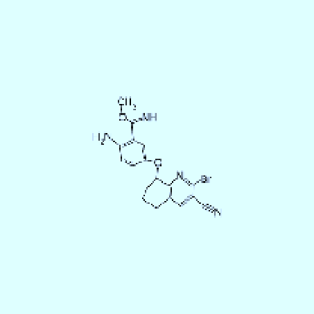 COC(=N)c1cc(OC2CCCc3cc(C#N)c(Br)nc32)ccc1N